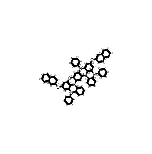 c1ccc(N2c3ccccc3B3c4cc5c(cc4Oc4cc(Oc6ccc7ccccc7c6)cc2c43)N(c2ccccc2)c2cc(Oc3ccc4ccccc4c3)cc3c2B5c2ccccc2N3c2ccccc2)cc1